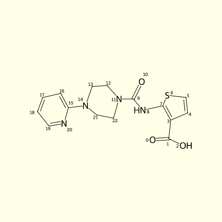 O=C(O)c1ccsc1NC(=O)N1CCN(c2ccccn2)CC1